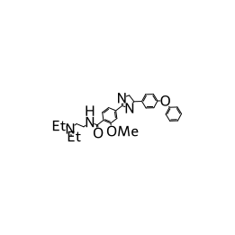 CCN(CC)CCNC(=O)c1ccc(C2=NCC(c3ccc(Oc4ccccc4)cc3)=N2)cc1OC